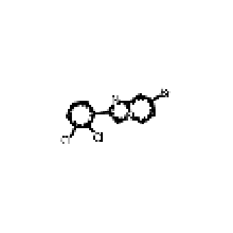 Clc1cccc(-c2cn3ccc(Br)cc3n2)c1Cl